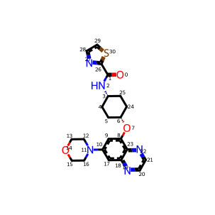 O=C(N[C@H]1CC[C@@H](Oc2cc(N3CCOCC3)cc3nccnc23)CC1)c1nccs1